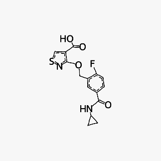 O=C(NC1CC1)c1ccc(F)c(COc2nscc2C(=O)O)c1